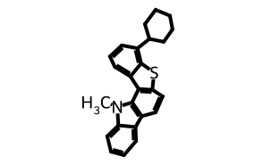 Cn1c2ccccc2c2ccc3sc4c(C5CCCCC5)cccc4c3c21